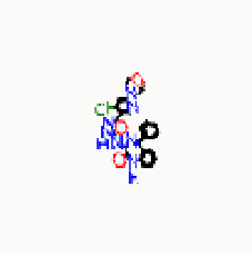 O=C1Nc2ccccc2C(c2ccccc2)=NC1Nc1nnc(-c2cnc(N3CCOCC3)cc2Cl)o1